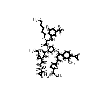 C=CCCCCC[C@H](Nc1cc(F)cc(C(F)(F)F)c1)C(=O)N1C[C@H](Oc2cc(-c3nc(C(C)C)cs3)nc3c(C)c(C4CC4)ccc23)C[C@H]1C(=O)N[C@]1(C(=O)NS(=O)(=O)C2(C)CC2)C[C@H]1C=C